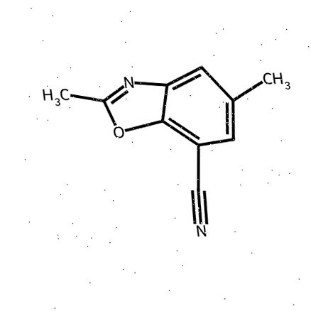 Cc1cc(C#N)c2oc(C)nc2c1